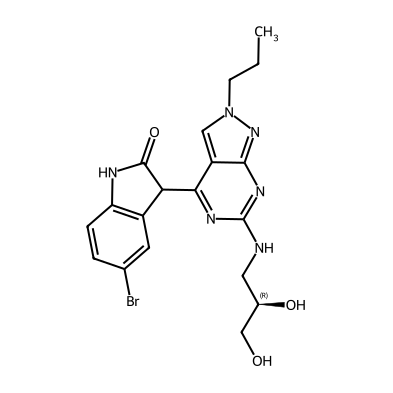 CCCn1cc2c(C3C(=O)Nc4ccc(Br)cc43)nc(NC[C@@H](O)CO)nc2n1